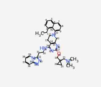 CCc1cccc2cccc(N3CCc4c(nc(OCC5(CN(C)C)CC5)nc4NCCc4nnc5ccccn45)C3)c12